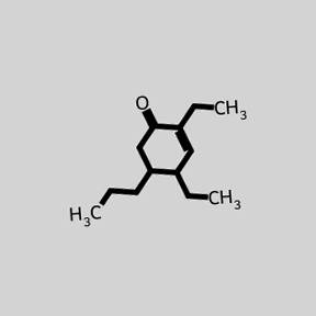 CCCC1CC(=O)C(CC)=CC1CC